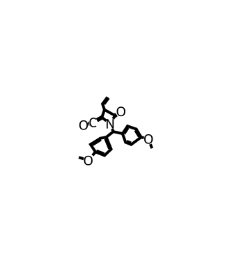 C=CC1C(=O)N(C(c2ccc(OC)cc2)c2ccc(OC)cc2)C1=C=O